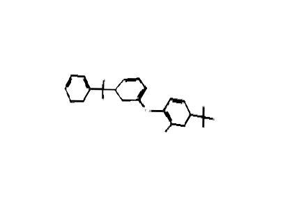 CC1=C(NC2=CC=CC(C(C)(C)C3=CC=CCC3)C2)C=CC(C(C)(C)C)C1